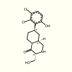 O=C1[C@@H](CO)NC[C@@H]2C[C@H](c3c(O)ccc(Cl)c3Cl)CCN12